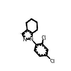 Clc1ccc(-n2n[c]c3c2CCCC3)c(Cl)c1